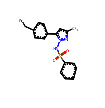 CC(C)Cc1ccc(-c2cc(C(F)(F)F)nn2NS(=O)(=O)c2ccccc2)cc1